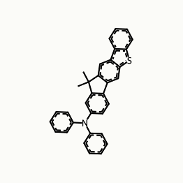 CC1(C)c2cc(N(c3ccccc3)c3ccccc3)ccc2-c2cc3sc4ccccc4c3cc21